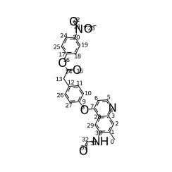 Cc1cc2nccc(Oc3ccc(CC(=O)Oc4ccc([N+](=O)[O-])cc4)cc3)c2cc1NC=O